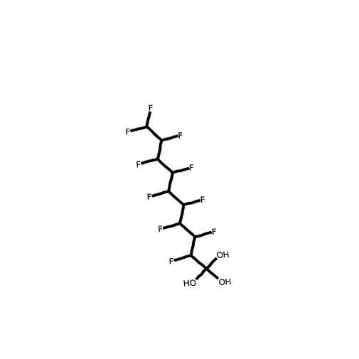 OC(O)(O)C(F)C(F)C(F)C(F)C(F)C(F)C(F)C(F)C(F)F